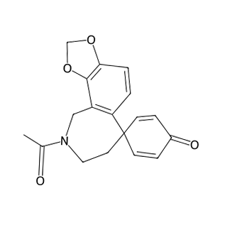 CC(=O)N1CCC2(C=CC(=O)C=C2)c2ccc3c(c2C1)OCO3